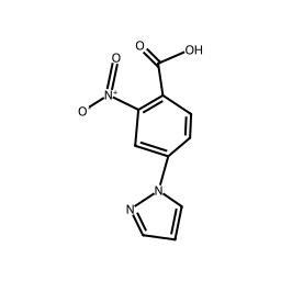 O=C(O)c1ccc(-n2cccn2)cc1[N+](=O)[O-]